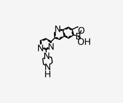 OB1OCc2cc3ncc(-c4ccnc(N5CCNCC5)n4)cc3cc21